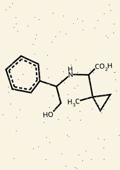 CC1(C(NC(CO)c2ccccc2)C(=O)O)CC1